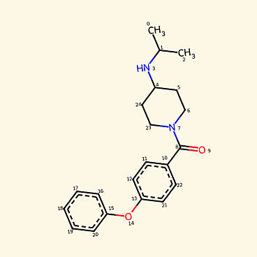 CC(C)NC1CCN(C(=O)c2ccc(Oc3ccccc3)cc2)CC1